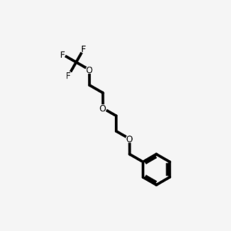 FC(F)(F)OCCOCCOCc1ccccc1